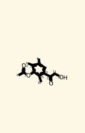 CC(=O)Oc1c(C)c(C)cc(C(=O)CO)c1C